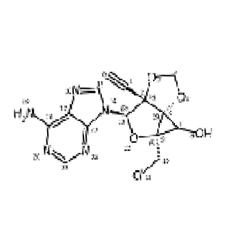 C#C[C@@]12OCO[C@@]13C(O)[C@@]3(CCl)O[C@H]2n1cnc2c(N)ncnc21